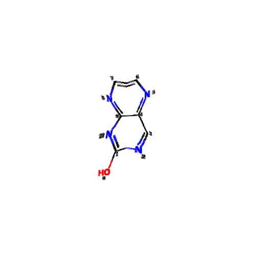 Oc1ncc2nccnc2n1